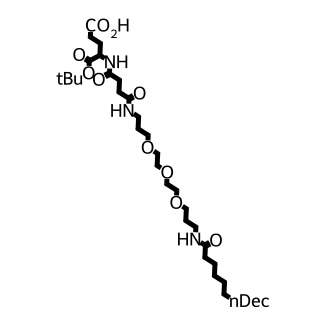 CCCCCCCCCCCCCCCC(=O)NCCCOCCOCCOCCCNC(=O)CCC(=O)NC(CCC(=O)O)C(=O)OC(C)(C)C